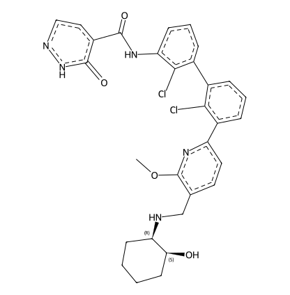 COc1nc(-c2cccc(-c3cccc(NC(=O)c4ccn[nH]c4=O)c3Cl)c2Cl)ccc1CN[C@@H]1CCCC[C@@H]1O